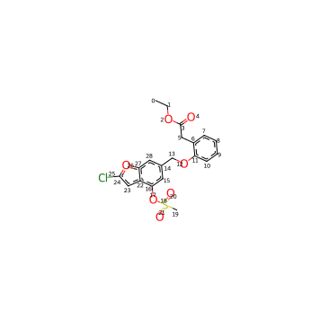 CCOC(=O)Cc1ccccc1OCc1cc(OS(C)(=O)=O)c2cc(Cl)oc2c1